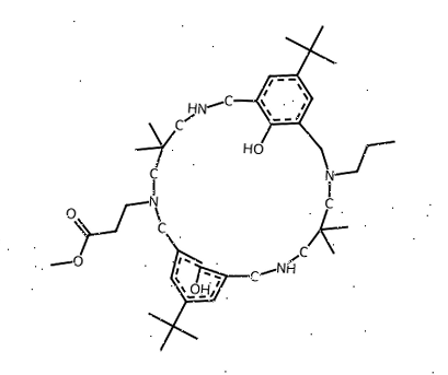 CCCN1Cc2cc(C(C)(C)C)cc(c2O)CNCC(C)(C)CN(CCC(=O)OC)Cc2cc(C(C)(C)C)cc(c2O)CNCC(C)(C)C1